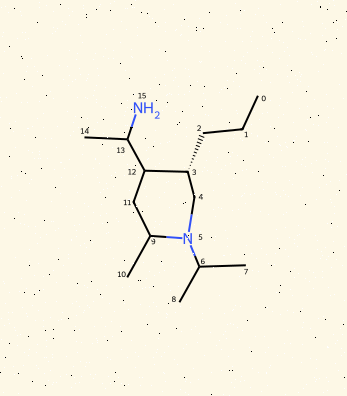 CCC[C@@H]1CN(C(C)C)C(C)CC1C(C)N